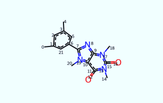 Cc1cc(C)cc(-c2nc3c(c(=O)n(C)c(=O)n3C)n2C)c1